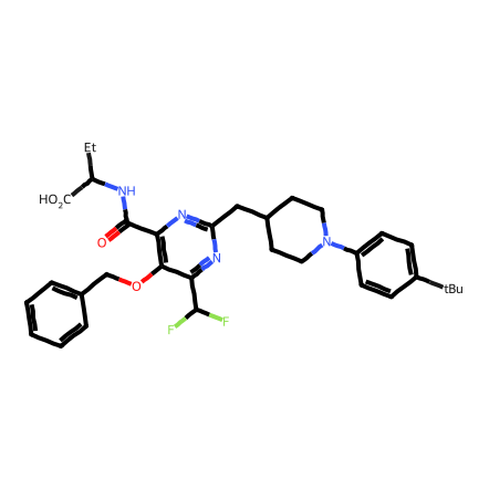 CCC(NC(=O)c1nc(CC2CCN(c3ccc(C(C)(C)C)cc3)CC2)nc(C(F)F)c1OCc1ccccc1)C(=O)O